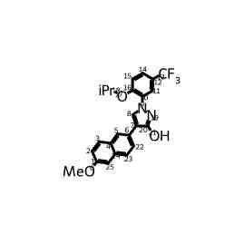 COc1ccc2cc(-c3cn(-c4cc(C(F)(F)F)ccc4OC(C)C)nc3O)ccc2c1